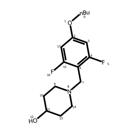 CCCCOc1cc(F)c(CN2CCC(O)CC2)c(F)c1